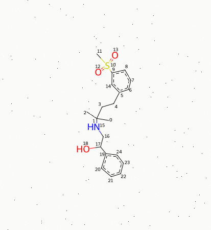 CC(C)(CCc1cccc(S(C)(=O)=O)c1)NCC(O)c1ccccc1